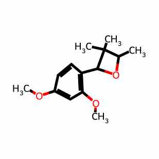 COc1ccc(C2OC(C)C2(C)C)c(OC)c1